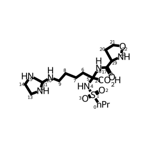 CCCS(=O)(=O)NC(CCCCNC1NCCN1)(NC(=O)C1CCON1)C(=O)O